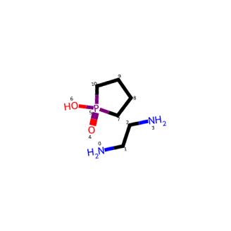 NCCN.O=P1(O)CCCC1